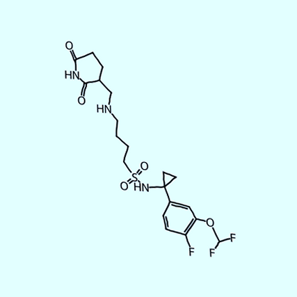 O=C1CCC(CNCCCCS(=O)(=O)NC2(c3ccc(F)c(OC(F)F)c3)CC2)C(=O)N1